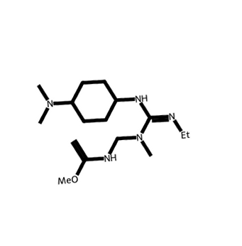 C=C(NCN(C)/C(=N\CC)NC1CCC(N(C)C)CC1)OC